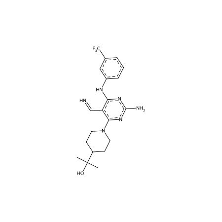 CC(C)(O)C1CCN(c2nc(N)nc(Nc3cccc(C(F)(F)F)c3)c2C=N)CC1